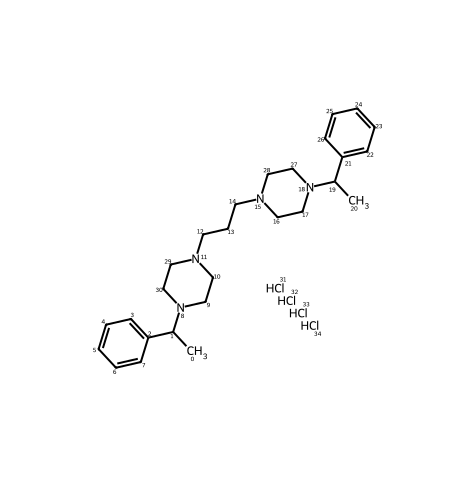 CC(c1ccccc1)N1CCN(CCCN2CCN(C(C)c3ccccc3)CC2)CC1.Cl.Cl.Cl.Cl